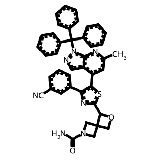 Cc1cc(-c2sc(C3OCC34CN(C(N)=O)C4)nc2-c2cccc(C#N)c2)c2cnn(C(c3ccccc3)(c3ccccc3)c3ccccc3)c2n1